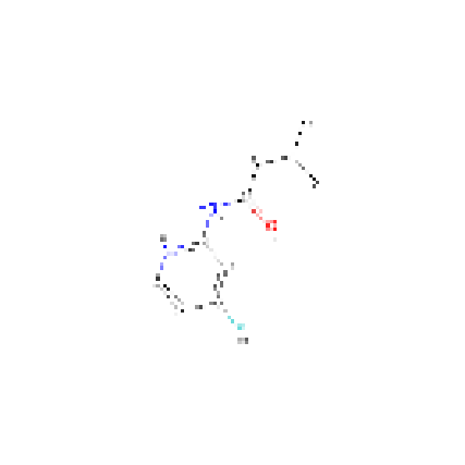 CC(C)CC(=O)Nc1cc(F)ccn1